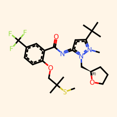 CSC(C)(C)COc1ccc(C(F)(F)F)cc1C(=O)N=c1cc(C(C)(C)C)n(C)n1C[C@H]1CCCO1